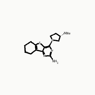 CN[C@H]1CCN(c2nc(N)nc3c4c(sc23)CCCC4)C1